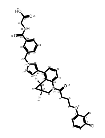 Cc1c(Cl)cccc1OCCCC(=O)N1C[C@@H]2C[C@@H]2c2c(-c3cnn(Cc4cccc(C(=O)NCC(=O)O)c4)c3)cccc21